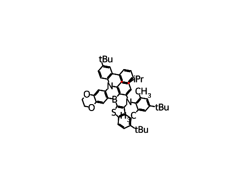 Cc1cc(C(C)(C)C)cc(C)c1N1c2cc(C(C)C)cc3c2B(c2cc4c(cc2N3c2ccc(C(C)(C)C)cc2-c2ccccc2)OCCO4)c2sc3ccc(C(C)(C)C)cc3c21